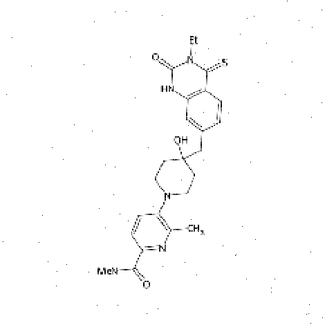 CCn1c(=O)[nH]c2cc(CC3(O)CCN(c4ccc(C(=O)NC)nc4C)CC3)ccc2c1=S